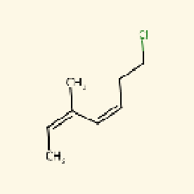 C/C=C(C)\C=C/CCCl